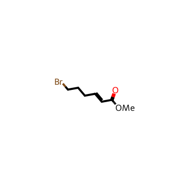 COC(=O)/C=C/CCCBr